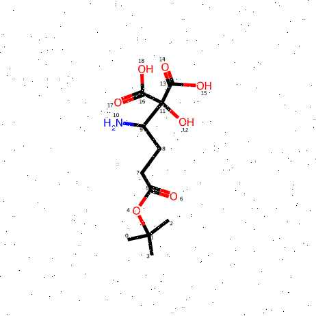 CC(C)(C)OC(=O)CCC(N)C(O)(C(=O)O)C(=O)O